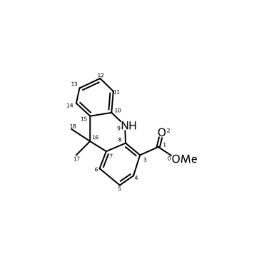 COC(=O)c1cccc2c1Nc1ccccc1C2(C)C